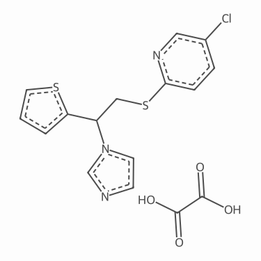 Clc1ccc(SCC(c2cccs2)n2ccnc2)nc1.O=C(O)C(=O)O